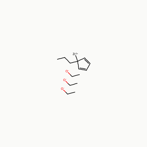 CCC[C]1([Zr+3])C=CC=C1.CC[O-].CC[O-].CC[O-]